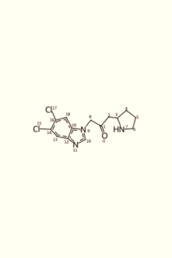 O=C(CC1CCCN1)Cn1cnc2cc(Cl)c(Cl)cc21